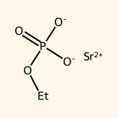 CCOP(=O)([O-])[O-].[Sr+2]